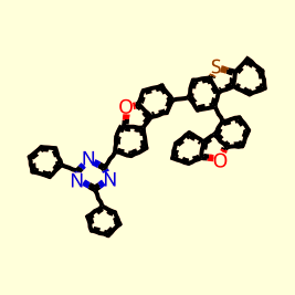 c1ccc(-c2nc(-c3ccccc3)nc(-c3ccc4c(c3)oc3ccc(-c5cc(-c6cccc7oc8ccccc8c67)c6c(c5)sc5ccccc56)cc34)n2)cc1